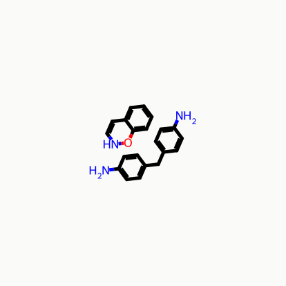 C1=Cc2ccccc2ON1.Nc1ccc(Cc2ccc(N)cc2)cc1